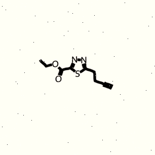 C#CCCc1nnc(C(=O)OCC)s1